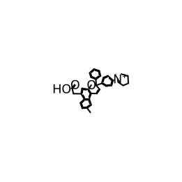 Cc1ccc2c(CC(=O)O)cc3c(c2c1)C=CC(c1ccccc1)(c1ccc([N+]2(C)CCCCC2)cc1)O3